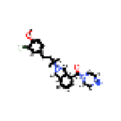 COc1ccc(CCC(C)(C)N2Cc3cccc(C(=O)N4CCNCC4)c3C2)cc1Cl